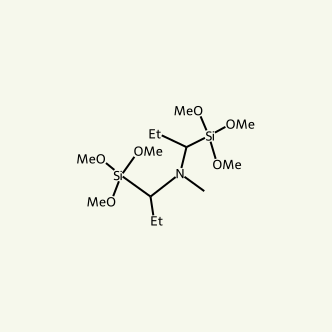 CCC(N(C)C(CC)[Si](OC)(OC)OC)[Si](OC)(OC)OC